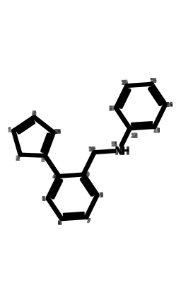 C1=CCC(c2ccccc2CNc2ccccc2)=C1